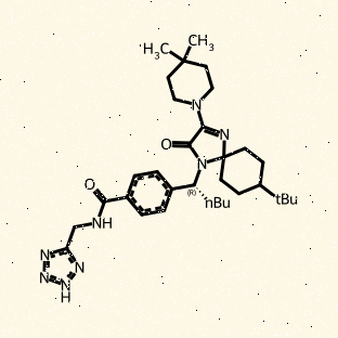 CCCC[C@H](c1ccc(C(=O)NCc2nn[nH]n2)cc1)N1C(=O)C(N2CCC(C)(C)CC2)=NC12CCC(C(C)(C)C)CC2